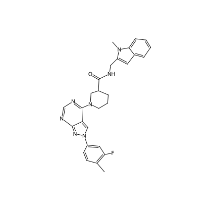 Cc1ccc(-n2cc3c(N4CCCC(C(=O)NCc5cc6ccccc6n5C)C4)ncnc3n2)cc1F